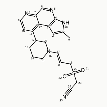 Cc1cc2c(ncc3nccc(C4CCCN(C=CCS(=O)(=O)CC#N)C4)c32)[nH]1